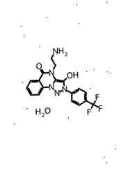 NCCN1C(=O)c2ccccc2N2[N]N(c3ccc(C(F)(F)F)cc3)C(O)=C12.O